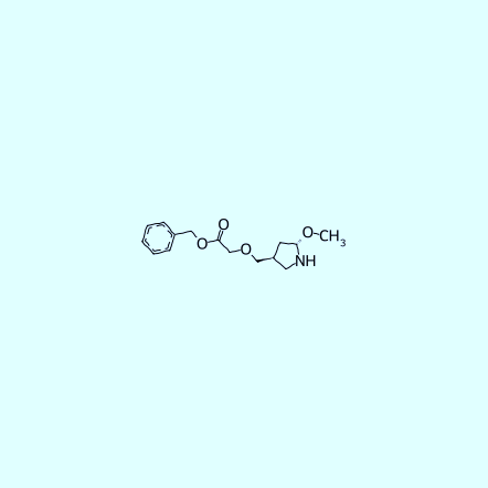 CO[C@H]1C[C@H](COCC(=O)OCc2ccccc2)CN1